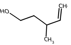 [CH]=CC(C)CCO